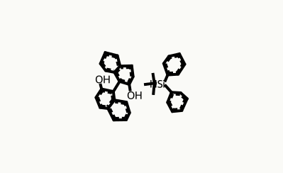 CC(C)(C)[SiH](c1ccccc1)c1ccccc1.Oc1ccc2ccccc2c1-c1c(O)ccc2ccccc12